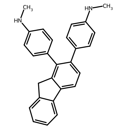 CNc1ccc(-c2ccc3c(c2-c2ccc(NC)cc2)Cc2ccccc2-3)cc1